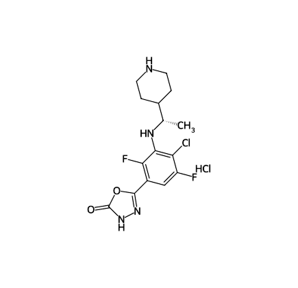 C[C@H](Nc1c(F)c(-c2n[nH]c(=O)o2)cc(F)c1Cl)C1CCNCC1.Cl